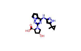 CC1(c2cc(Nc3nc(N4C[C@H](O)C[C@H]4C(=O)O)nn4cccc34)n[nH]2)CC1